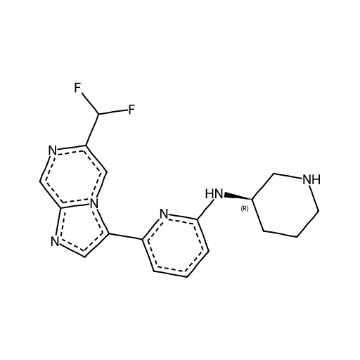 FC(F)c1cn2c(-c3cccc(N[C@@H]4CCCNC4)n3)cnc2cn1